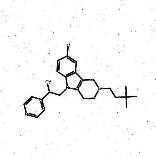 CC(C)(C)CCN1CCc2c(c3cc(Cl)ccc3n2CC(O)c2ccncc2)C1